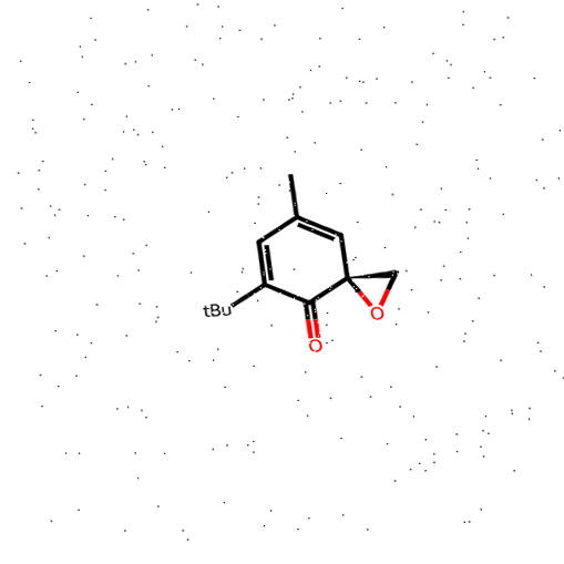 CC1=C[C@@]2(CO2)C(=O)C(C(C)(C)C)=C1